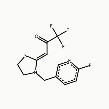 O=C(/C=C1\SCCN1Cc1ccc(F)nc1)C(F)(F)F